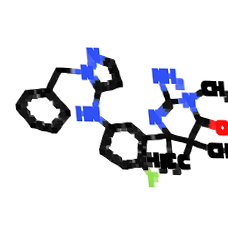 CN1C(=O)C(C)(C)C(C)(c2cc(Nc3ccnn3Cc3ccccc3)ccc2F)N=C1N